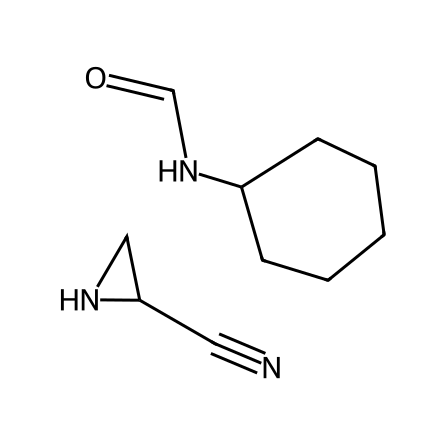 N#CC1CN1.O=CNC1CCCCC1